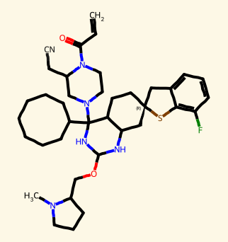 C=CC(=O)N1CCN(C2(C3CCCCCCC3)NC(OCC3CCCN3C)NC3C[C@@]4(CCC32)Cc2cccc(F)c2S4)CC1CC#N